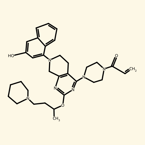 C=CC(=O)N1CCN(c2nc(OC(C)CCN3CCCCC3)nc3c2CCN(c2cc(O)cc4ccccc24)C3)CC1